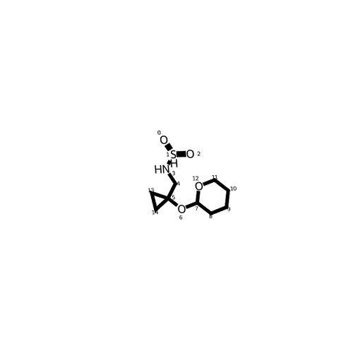 O=[SH](=O)NCC1(OC2CCCCO2)CC1